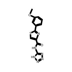 COc1cccc(-c2nc(C(=O)Nc3nnn[nH]3)cs2)c1